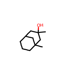 CC1(O)CC2CCCC(C)(C2)C1